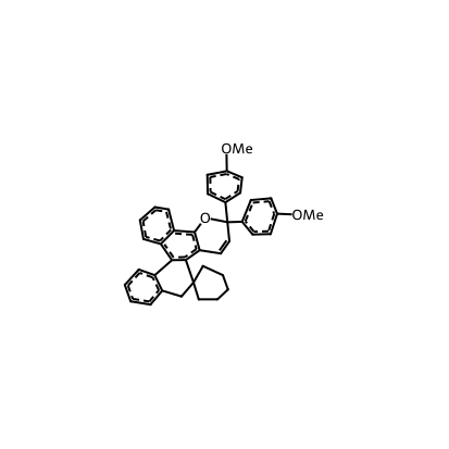 COc1ccc(C2(c3ccc(OC)cc3)C=Cc3c4c(c5ccccc5c3O2)-c2ccccc2CC42CCCCC2)cc1